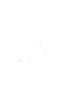 c1ccc(-c2nc[nH]c2-c2ccccc2)cc1.c1ccc(Cc2c[nH]c(-c3ccccc3)n2)cc1